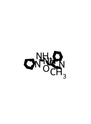 Cc1cnc2ccccc2c1C(=O)NC(N)=Nc1ccccc1